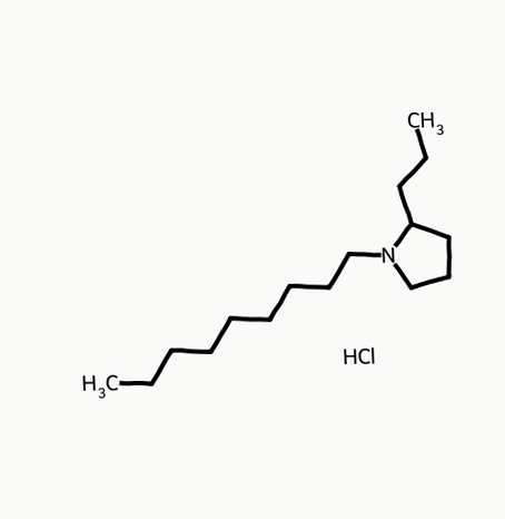 CCCCCCCCCN1CCCC1CCC.Cl